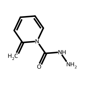 C=C1C=CC=CN1C(=O)NN